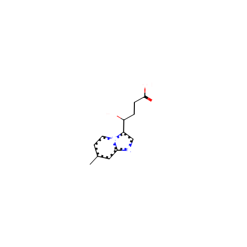 Cc1ccn2c(C(O)CCC(=O)O)cnc2c1